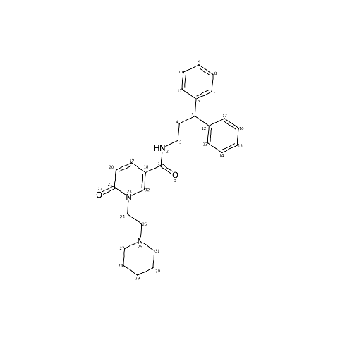 O=C(NCCC(c1ccccc1)c1ccccc1)c1ccc(=O)n(CCN2CCCCC2)c1